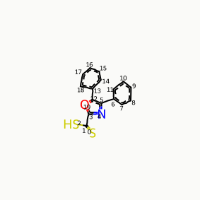 S=C(S)c1nc(-c2ccccc2)c(-c2ccccc2)o1